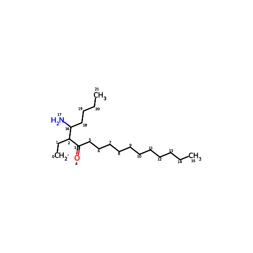 [CH2]CC(C(=O)CCCCCCCCCCC)C(N)CCCC